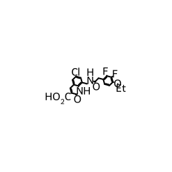 CCOc1ccc(CC(=O)NCc2cc(Cl)cc3cc(C(=O)O)c(=O)[nH]c23)c(F)c1F